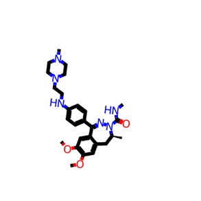 CNC(=O)N1N=C(c2ccc(NCCN3CCN(C)CC3)cc2)c2cc(OC)c(OC)cc2C[C@@H]1C